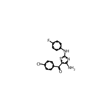 Nc1nc(Nc2ccc(F)cc2)sc1C(=O)c1ccc(Cl)cc1